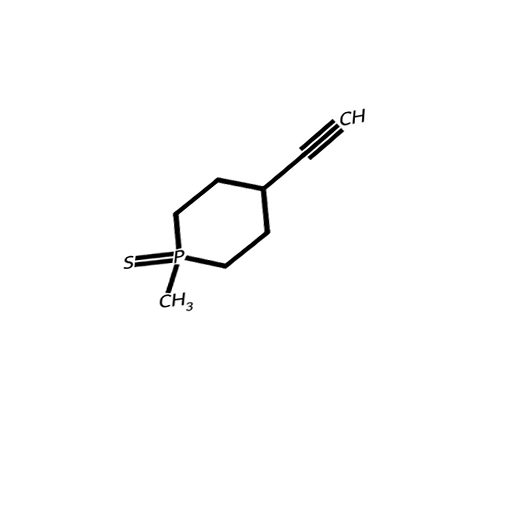 C#CC1CCP(C)(=S)CC1